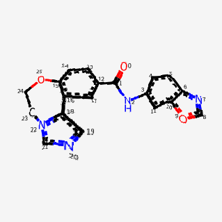 O=C(Nc1ccc2ncoc2c1)c1ccc2c(c1)-c1cncn1CCO2